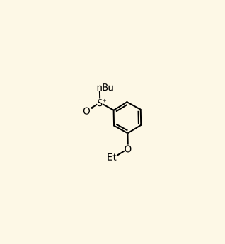 [CH2]CCC[S+]([O-])c1cccc(OCC)c1